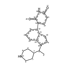 CC(C1CCNCC1)n1ccc2c(-n3ccc(=O)[nH]c3=O)cccc21